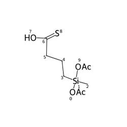 CC(=O)O[Si](C)(CCCC(O)=S)OC(C)=O